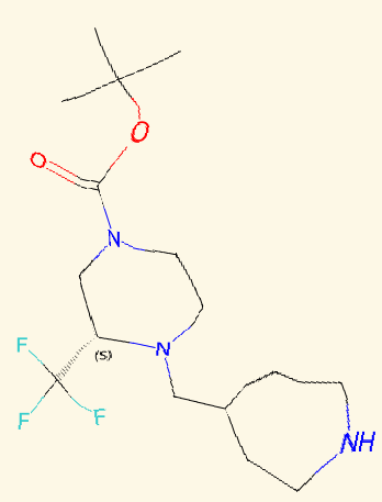 CC(C)(C)OC(=O)N1CCN(CC2CCNCC2)[C@H](C(F)(F)F)C1